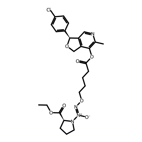 CCOC(=O)[C@@H]1CCCN1[N+]([O-])=NOCCCCC(=O)Oc1c(C)ncc2c1CO[C@H]2c1ccc(Cl)cc1